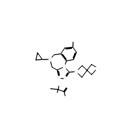 Clc1ccc2c(c1)CN(C1CC1)Cc1nnc(N3CC4(CNC4)C3)n1-2.O=C(O)C(F)(F)F